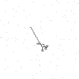 CCCCCCCCCCCCCCNc1ccc([N+](=O)[O-])c(C#N)c1